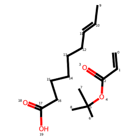 C=CC(=O)OC(C)(C)C.CC=CCCCCCC(=O)O